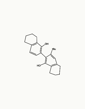 CC(C)(C)c1cc2c(c(O)c1-c1ccc3c(c1O)CCCC3)CCCC2